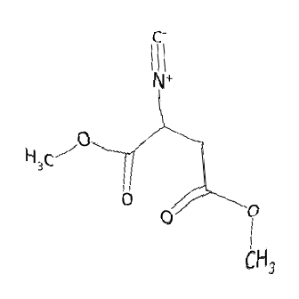 [C-]#[N+]C(CC(=O)OC)C(=O)OC